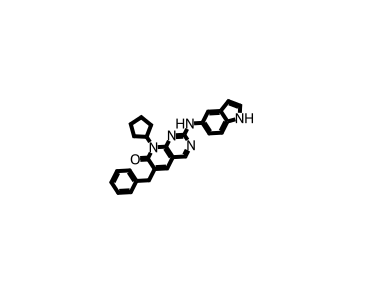 O=c1c(Cc2ccccc2)cc2cnc(Nc3ccc4[nH]ccc4c3)nc2n1C1CCCC1